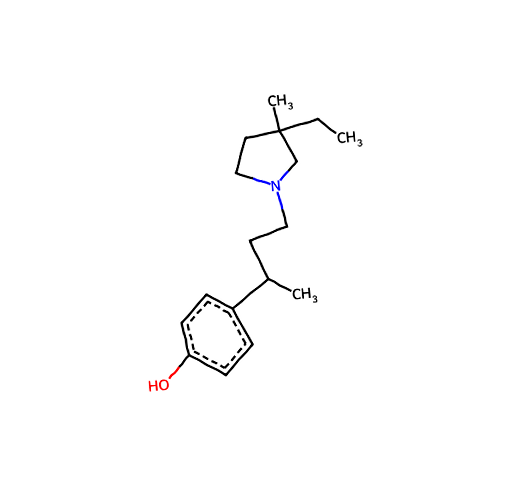 CCC1(C)CCN(CCC(C)c2ccc(O)cc2)C1